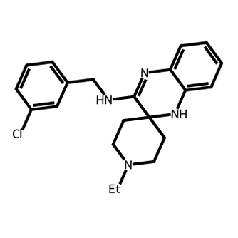 CCN1CCC2(CC1)Nc1ccccc1N=C2NCc1cccc(Cl)c1